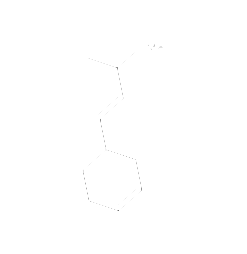 COC(C)C=CC1CC=CCC1